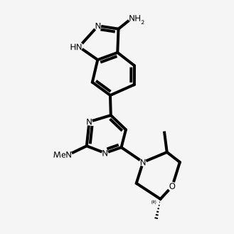 CNc1nc(-c2ccc3c(N)n[nH]c3c2)cc(N2C[C@@H](C)OCC2C)n1